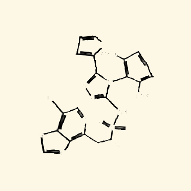 COc1cccc(OC)c1-n1c(NS(=O)(=O)[C@H](C)Cc2ncc(F)c3[nH]cnc23)nnc1-c1ccco1